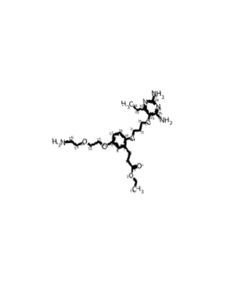 CCOC(=O)CCc1cc(OCCOCCN)ccc1OCCCOc1c(N)nc(N)nc1CC